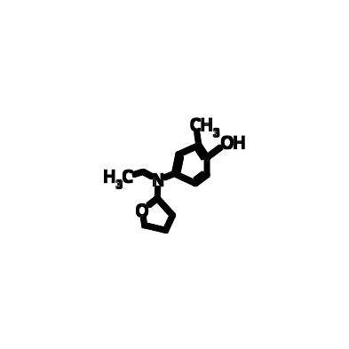 CCN(c1ccc(O)c(C)c1)C1CCCO1